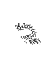 CC(C)(C)OC(=O)N1CC[C@H](O[Si](C)(C)C(C)(C)C)[C@H]1C(=O)Nc1cc(F)c2c(c1)CC(CN1CCC3(CC1)CN(c1cnc4c(n1)NC(=O)CO4)C(=O)O3)C2